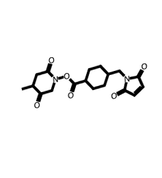 CC1CC(=O)N(OC(=O)C2CCC(CN3C(=O)C=CC3=O)CC2)CC1=O